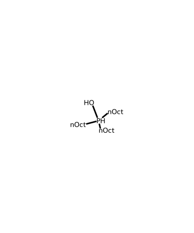 CCCCCCCC[PH](O)(CCCCCCCC)CCCCCCCC